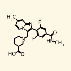 CNC(=O)c1cc(F)c(-c2nc3cc(C)ccn3c2CN2CCCC(C(=O)O)C2)c(F)c1